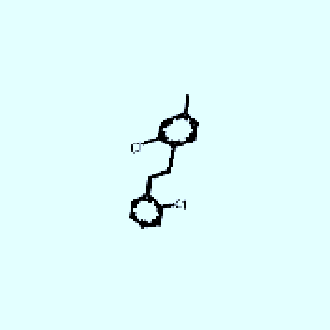 Cc1ccc(CCc2ccccc2Cl)c(Cl)c1